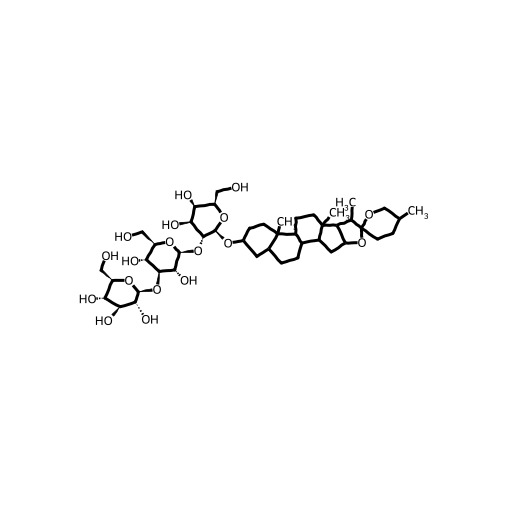 CC1CCC2(OC1)OC1CC3C4CCC5CC(O[C@@H]6O[C@H](CO)[C@H](O)[C@H](O)[C@H]6O[C@@H]6O[C@H](CO)[C@@H](O)[C@H](O[C@@H]7O[C@H](CO)[C@@H](O)[C@H](O)[C@H]7O)[C@H]6O)CCC5(C)C4CCC3(C)C1C2C